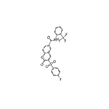 O=C(Nc1ccccc1C(F)(F)F)c1ccc2oc(=O)c(S(=O)(=O)c3ccc(F)cc3)cc2c1